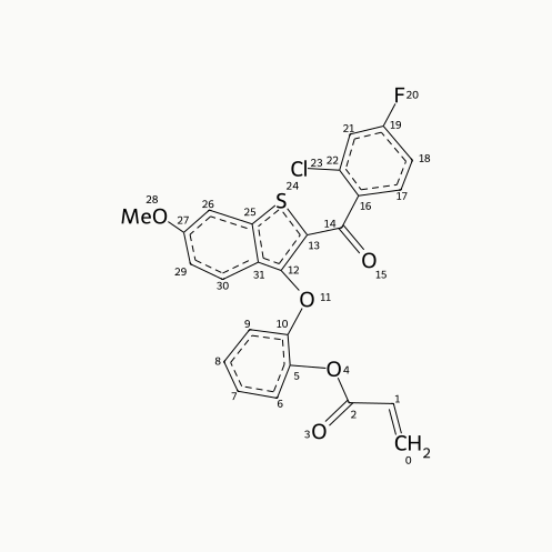 C=CC(=O)Oc1ccccc1Oc1c(C(=O)c2ccc(F)cc2Cl)sc2cc(OC)ccc12